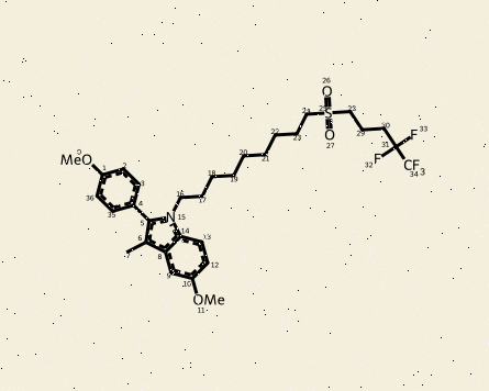 COc1ccc(-c2c(C)c3cc(OC)ccc3n2CCCCCCCCCS(=O)(=O)CCCC(F)(F)C(F)(F)F)cc1